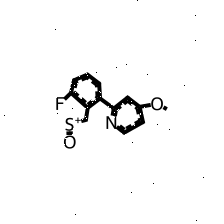 COc1ccnc(-c2cccc(F)c2C[S+]=O)c1